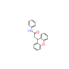 O=C(CC1c2ccccc2Oc2ccccc21)Nc1ccccc1